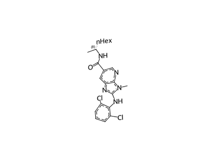 CCCCCC[C@@H](C)NC(=O)c1cnc2c(c1)nc(Nc1c(Cl)cccc1Cl)n2C